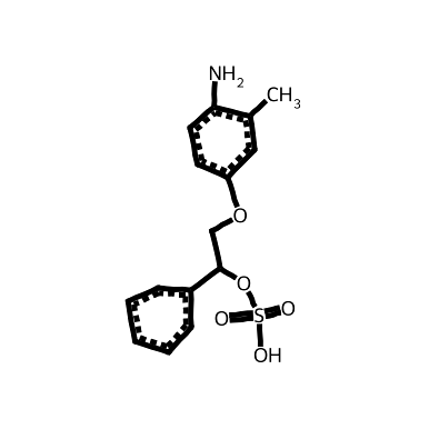 Cc1cc(OCC(OS(=O)(=O)O)c2ccccc2)ccc1N